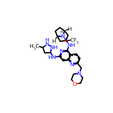 CC1CC(Nc2cc3nc(CN4CCOCC4)ccc3c(NC3C[C@H]4CC[C@@H](C3)N4CC(F)(F)F)n2)NN1